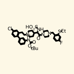 CCSc1cc(F)ccc1CN1CCN(C(=O)C(NC(=O)O)C2CCN(CCc3cc(Cl)ccc3-c3cccc(NC(=O)OC(C)(C)C)c3)CC2)CC1